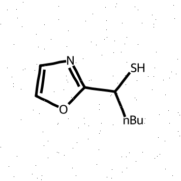 CCCCC(S)c1ncco1